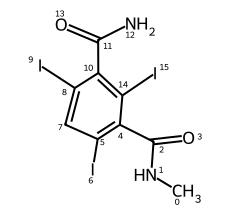 CNC(=O)c1c(I)cc(I)c(C(N)=O)c1I